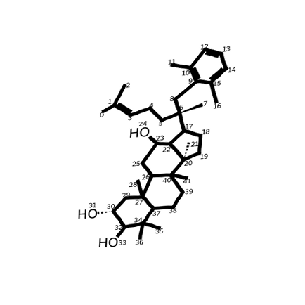 CC(C)=CCC[C@](C)(Cc1c(C)cccc1C)C1CC[C@]2(C)C1C(O)CC1C3(C)C[C@@H](O)C(O)C(C)(C)C3CCC12C